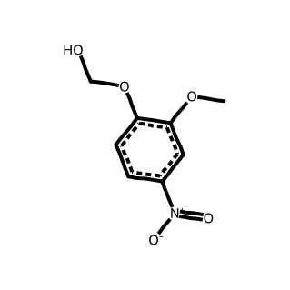 COc1cc([N+](=O)[O-])ccc1OCO